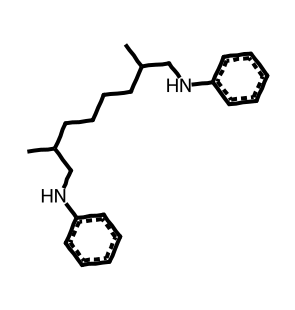 CC(CCCCC(C)CNc1ccccc1)CNc1ccccc1